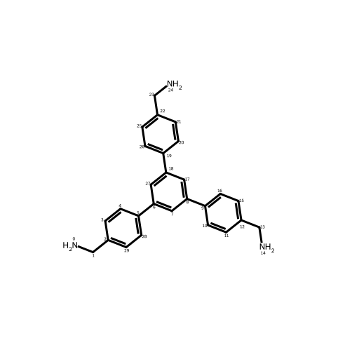 NCc1ccc(-c2cc(-c3ccc(CN)cc3)cc(-c3ccc(CN)cc3)c2)cc1